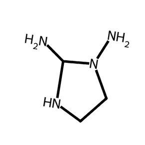 NC1NCCN1N